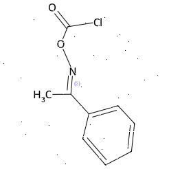 C/C(=N\OC(=O)Cl)c1ccccc1